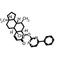 C[C@H]1C[C@H]2N(Oc3nccc(-c4ccccc4)n3)C(=O)C=C[C@]2(C)[C@H]2CC[C@]3(C)CCC[C@H]3[C@H]12